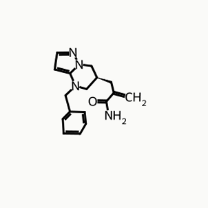 C=C(C[C@H]1CN(Cc2ccccc2)c2ccnn2C1)C(N)=O